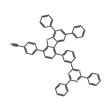 N#Cc1ccc(-c2ccc(-c3cccc(-c4nc(-c5ccccc5)nc(-c5ccccc5)n4)c3)c3c2sc2c(-c4ccccc4)cc(-c4ccccc4)cc23)cc1